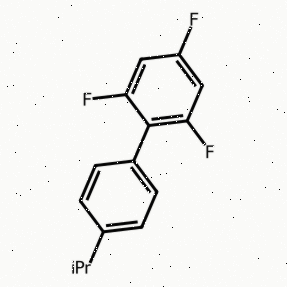 CC(C)c1ccc(-c2c(F)cc(F)cc2F)cc1